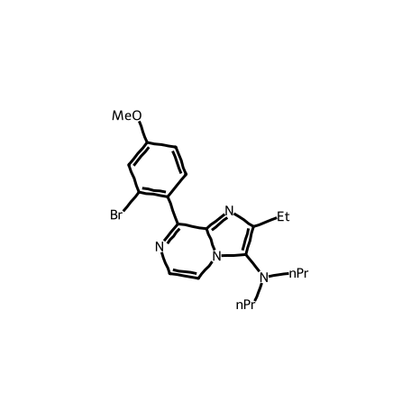 CCCN(CCC)c1c(CC)nc2c(-c3ccc(OC)cc3Br)nccn12